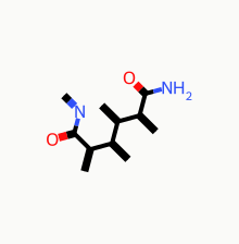 C=NC(=O)C(=C)C(=C)C(=C)C(=C)C(N)=O